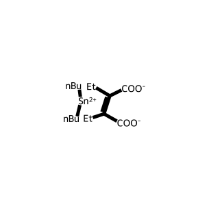 CC/C(C(=O)[O-])=C(\CC)C(=O)[O-].CCC[CH2][Sn+2][CH2]CCC